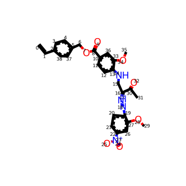 C=Cc1ccc(COC(=O)c2ccc(NC/C(=N/Nc3ccc([N+](=O)[O-])cc3OC)C(C)=O)c(OC)c2)cc1